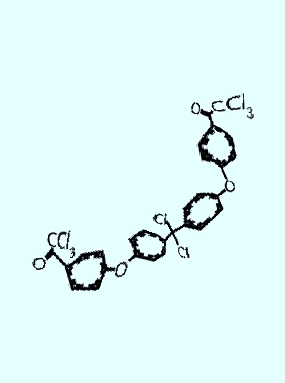 O=C(c1ccc(Oc2ccc(C(Cl)(Cl)c3ccc(Oc4ccc(C(=O)C(Cl)(Cl)Cl)cc4)cc3)cc2)cc1)C(Cl)(Cl)Cl